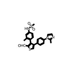 Cc1cc(NS(C)(=O)=O)ccc1-c1c(-c2ccc(-n3ccnc3C)cc2)csc1C=O